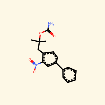 CC(C)(Cc1ccc(-c2ccccc2)cc1[N+](=O)[O-])OC(N)=O